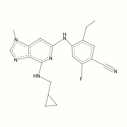 CCc1cc(C#N)c(F)cc1Nc1cc2c(ncn2C)c(NCC2CC2)n1